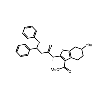 COC(=O)c1c(NC(=O)CC(Sc2ccccc2)c2ccccc2)sc2c1CCC(C(C)(C)C)C2